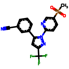 CS(=O)(=O)c1ccc(-n2nc(C(F)(F)F)cc2-c2cccc(C#N)c2)nc1